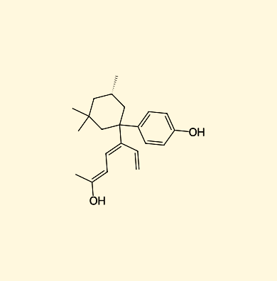 C=C/C(=C\C=C(/C)O)C1(c2ccc(O)cc2)C[C@@H](C)CC(C)(C)C1